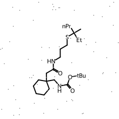 CCCC(C)(CC)SCCCNC(=O)CC1(CNC(=O)OC(C)(C)C)CCCCC1